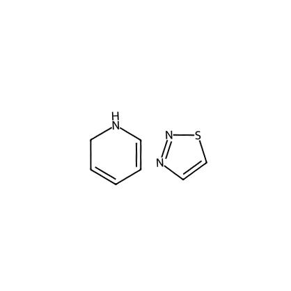 C1=CCNC=C1.c1csnn1